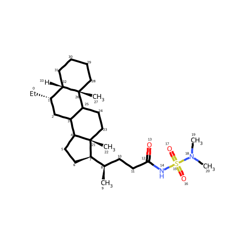 CC[C@H]1CC2C3CC[C@H]([C@H](C)CCC(=O)NS(=O)(=O)N(C)C)[C@@]3(C)CCC2[C@@]2(C)CCCC[C@@H]12